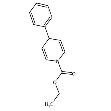 CCOC(=O)N1C=CC(c2ccccc2)C=C1